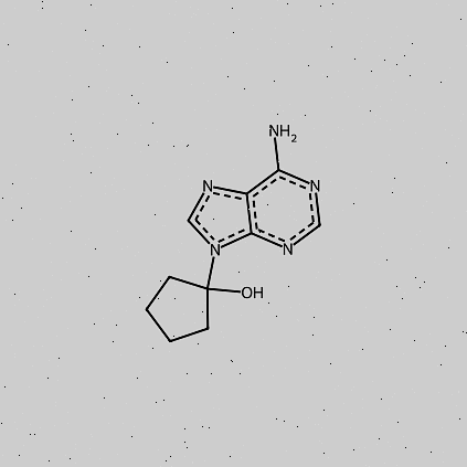 Nc1ncnc2c1ncn2C1(O)CCCC1